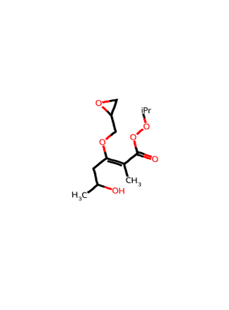 CC(C(=O)OOC(C)C)=C(CC(C)O)OCC1CO1